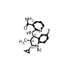 CC(=O)N1c2ccc(F)cc2[C@H](Nc2ncccc2C(N)=O)[C@H](C)[C@@H]1C1CC1